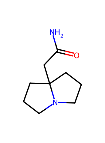 NC(=O)CC12CCCN1CCC2